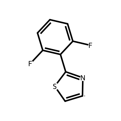 Fc1cccc(F)c1-c1n[c]cs1